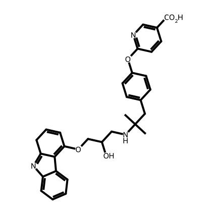 CC(C)(Cc1ccc(Oc2ccc(C(=O)O)cn2)cc1)NCC(O)COC1=C2C(=Nc3ccccc32)CC=C1